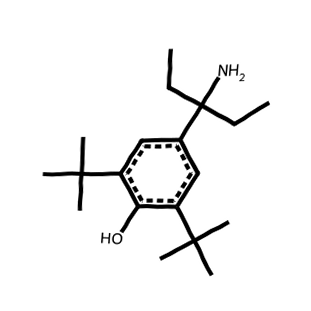 CCC(N)(CC)c1cc(C(C)(C)C)c(O)c(C(C)(C)C)c1